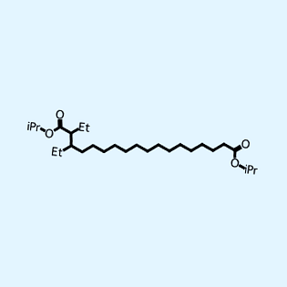 CCC(CCCCCCCCCCCCCCC(=O)OC(C)C)C(CC)C(=O)OC(C)C